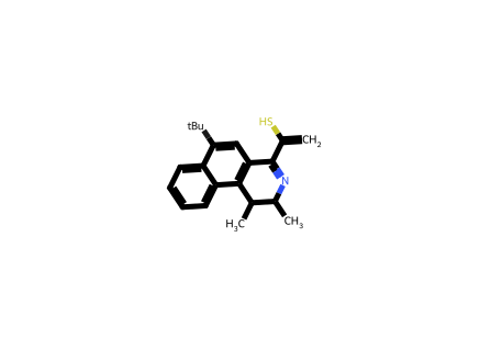 C=C(S)C1=NC(C)C(C)c2c1cc(C(C)(C)C)c1ccccc21